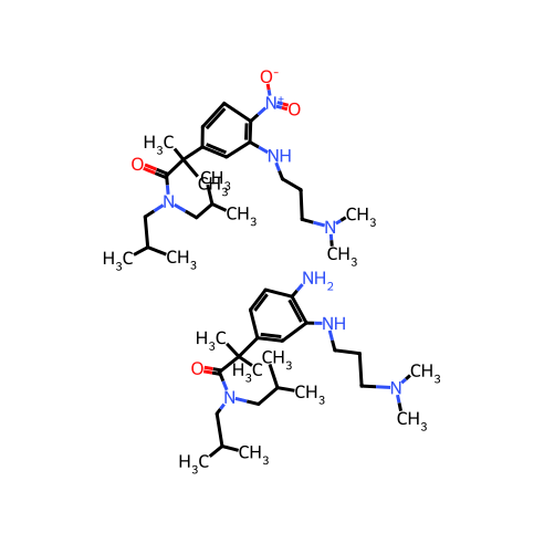 CC(C)CN(CC(C)C)C(=O)C(C)(C)c1ccc(N)c(NCCCN(C)C)c1.CC(C)CN(CC(C)C)C(=O)C(C)(C)c1ccc([N+](=O)[O-])c(NCCCN(C)C)c1